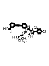 CCn1cc(-c2ccc(Cl)cc2Cl)nc1-c1nc2ccc(C#Cc3cccc(C(=O)O)c3)cc2n1COCC[Si](C)(C)C